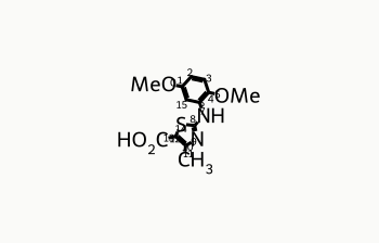 COc1ccc(OC)c(Nc2nc(C)c(C(=O)O)s2)c1